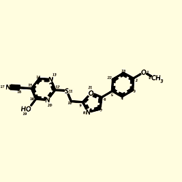 COc1ccc(-c2cnc(CSc3ncc(C#N)c(O)n3)o2)cc1